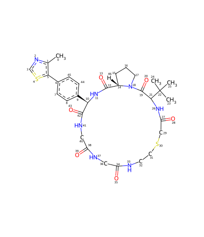 Cc1ncsc1-c1ccc([C@H]2NC(=O)[C@@H]3CCCN3C(=O)C(C(C)(C)C)NC(=O)CSCCNC(=O)CNC(=O)CNC2=O)cc1